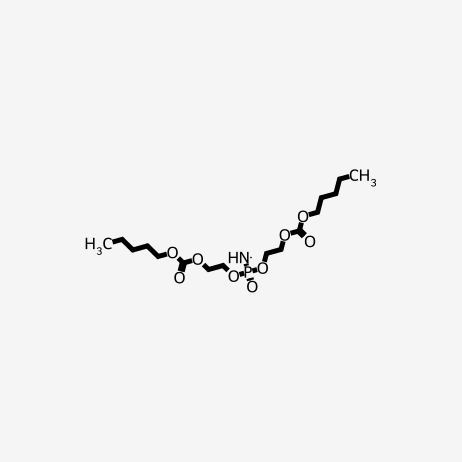 CCCCCOC(=O)OCCOP([NH])(=O)OCCOC(=O)OCCCCC